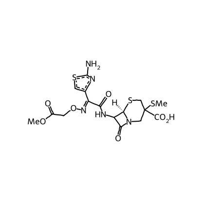 COC(=O)CON=C(C(=O)NC1C(=O)N2CC(SC)(C(=O)O)CS[C@H]12)c1csc(N)n1